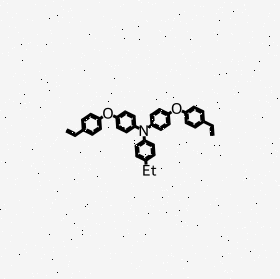 C=Cc1ccc(Oc2ccc(N(c3ccc(CC)cc3)c3ccc(Oc4ccc(C=C)cc4)cc3)cc2)cc1